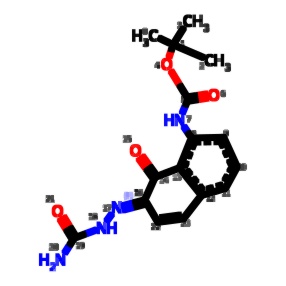 CC(C)(C)OC(=O)Nc1cccc2c1C(=O)/C(=N/NC(N)=O)C=C2